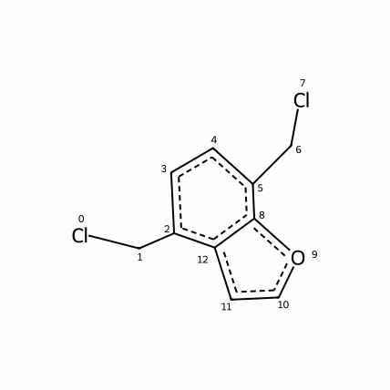 ClCc1ccc(CCl)c2occc12